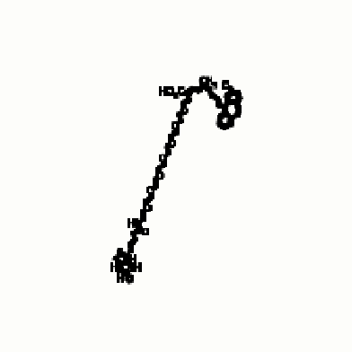 CN(C/C=C(\CCOCCOCCOCCOCCOCCOCCOCCNC(=O)CCCC[C@@H]1SC[C@@H]2NC(=O)N[C@@H]21)C(=O)O)CCCCN1c2ccccc2CCc2ccc(Cl)cc21